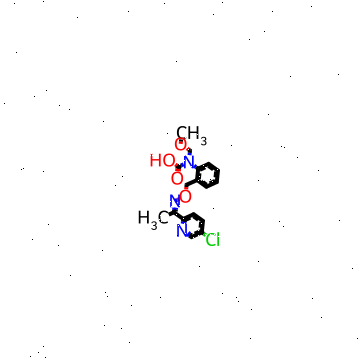 COCN(C(=O)O)c1ccccc1CON=C(C)c1ccc(Cl)cn1